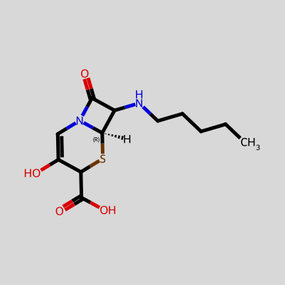 CCCCCNC1C(=O)N2C=C(O)C(C(=O)O)S[C@H]12